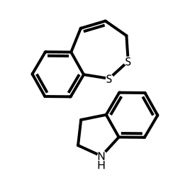 C1=Cc2ccccc2SSC1.c1ccc2c(c1)CCN2